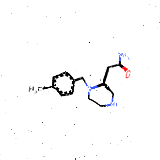 Cc1ccc(CN2CCNCC2CC(N)=O)cc1